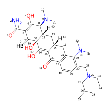 B=C1C(C(N)=O)=C(O)[C@@H](N(C)C)[C@@H]2C[C@@H]3Cc4c(ccc(CN(CC)CC(C)C)c4N(C)C)C(=O)C3=C(O)[C@]12O